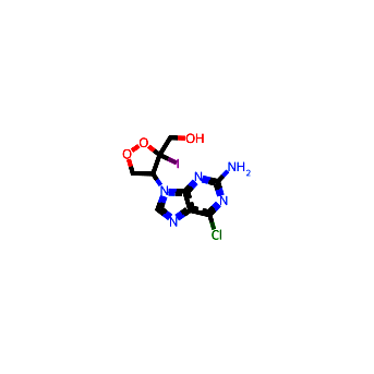 Nc1nc(Cl)c2ncn(C3COOC3(I)CO)c2n1